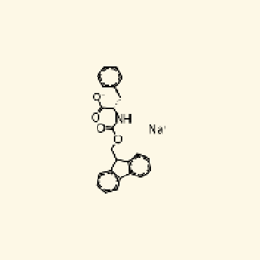 O=C(N[C@@H](Cc1ccccc1)C(=O)[O-])OCC1c2ccccc2-c2ccccc21.[Na+]